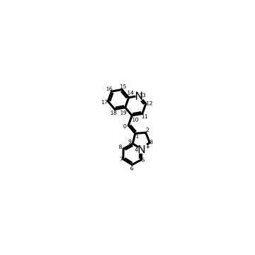 C(=C1CC[n+]2ccccc21)c1ccnc2ccccc12